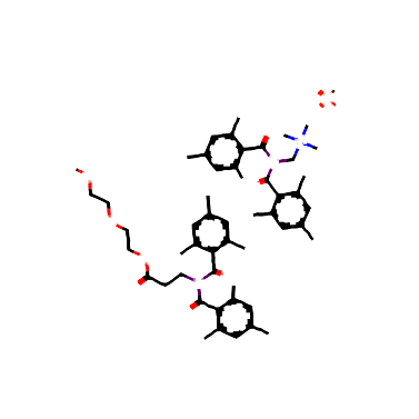 CCOCCOCCOC(=O)CCP(C(=O)c1c(C)cc(C)cc1C)C(=O)c1c(C)cc(C)cc1C.Cc1cc(C)c(C(=O)P(C[N+](C)(C)C)C(=O)c2c(C)cc(C)cc2C)c(C)c1.O=S(=O)([O-])C(F)(F)F